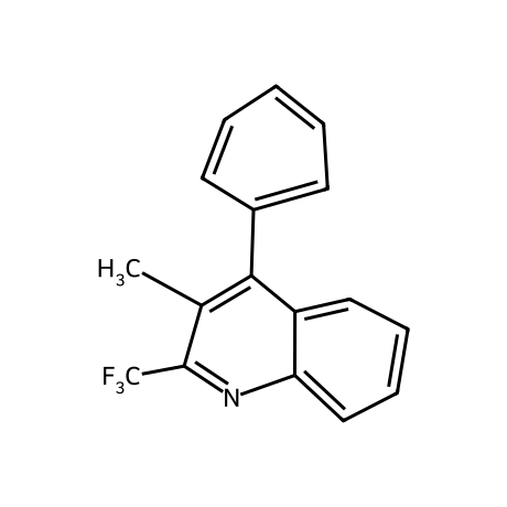 Cc1c(C(F)(F)F)nc2ccccc2c1-c1ccccc1